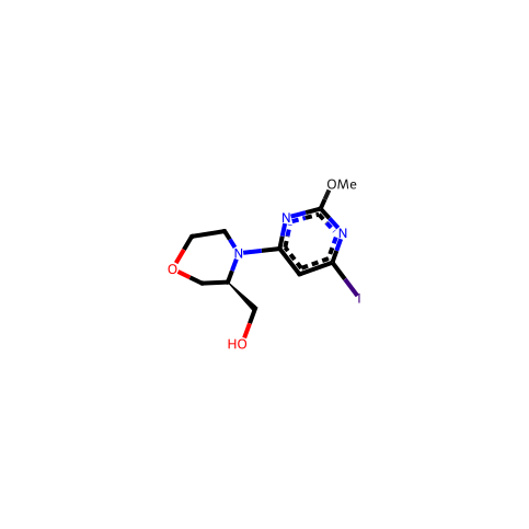 COc1nc(I)cc(N2CCOC[C@@H]2CO)n1